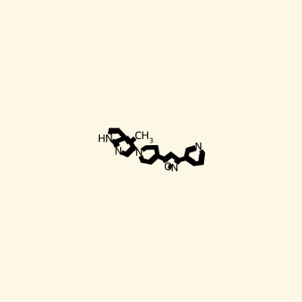 Cc1c(N2CC=C(c3cc(-c4cccnc4)no3)CC2)cnc2[nH]ccc12